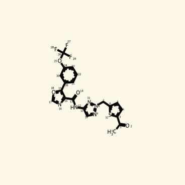 CC(=O)c1ccc(Cn2ncc(NC(=O)c3ncoc3-c3cccc(OC(F)(F)F)c3)n2)s1